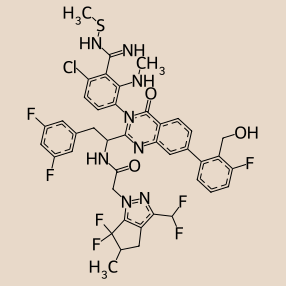 CNc1c(-n2c(C(Cc3cc(F)cc(F)c3)NC(=O)Cn3nc(C(F)F)c4c3C(F)(F)C(C)C4)nc3cc(-c4cccc(F)c4CO)ccc3c2=O)ccc(Cl)c1C(=N)NSC